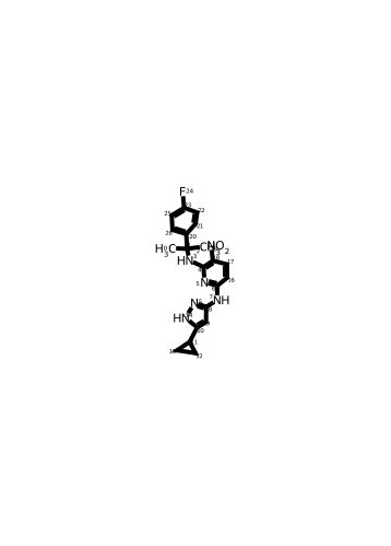 CC(C)(Nc1nc(Nc2cc(C3CC3)[nH]n2)ccc1[N+](=O)[O-])c1ccc(F)cc1